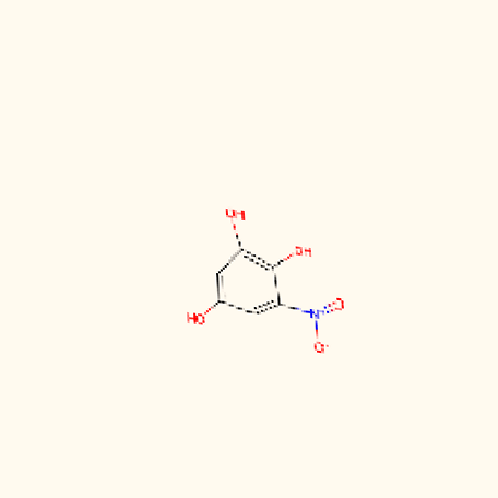 O=[N+]([O-])c1cc(O)cc(O)c1O